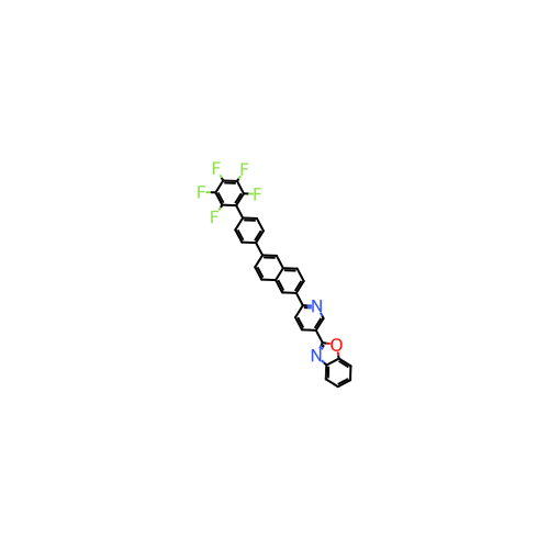 Fc1c(F)c(F)c(-c2ccc(-c3ccc4cc(-c5ccc(-c6nc7ccccc7o6)cn5)ccc4c3)cc2)c(F)c1F